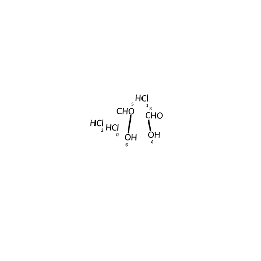 Cl.Cl.Cl.O=CO.O=CO